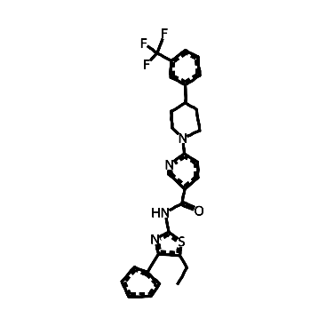 CCc1sc(NC(=O)c2ccc(N3CCC(c4cccc(C(F)(F)F)c4)CC3)nc2)nc1-c1ccccc1